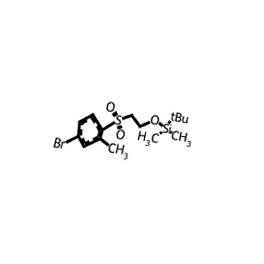 Cc1cc(Br)ccc1S(=O)(=O)CCO[Si](C)(C)C(C)(C)C